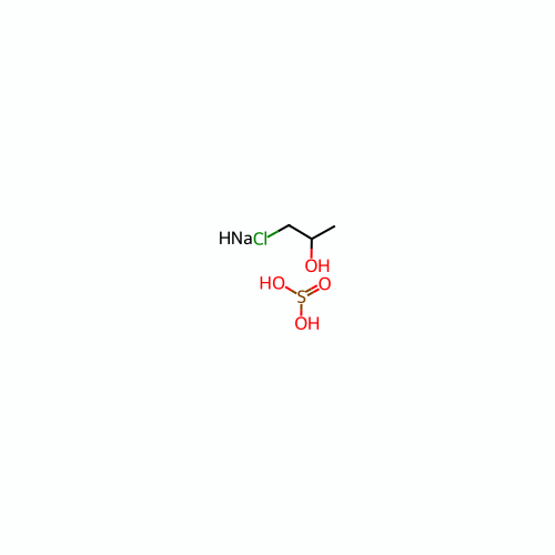 CC(O)CCl.O=S(O)O.[NaH]